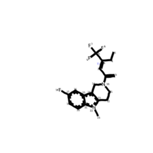 C=C(/C=C(\CC)C(F)(F)F)N1CCc2c(c3cc(F)ccc3n2C)C1